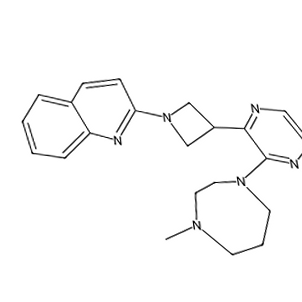 CN1CCCN(c2nccnc2C2CN(c3ccc4ccccc4n3)C2)CC1